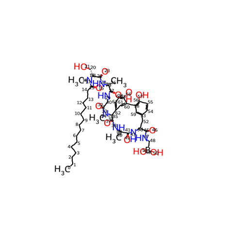 CCCCCCCCCCCCCCCC(=O)N(C)[C@H](CO)C(=O)N[C@H](C)C(=O)NCC(=O)N(C)[C@@H]1C(=O)N[C@@H](C)C(=O)N[C@H](C(=O)NCB(O)O)Cc2ccc(O)c(c2)-c2cc1ccc2O